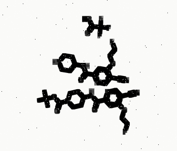 CC(C)(C)OC(=O)N1CCC(NC(=O)c2cc(OCCF)c(C#N)cn2)CC1.N#Cc1cnc(C(=O)NC2CCNCC2)cc1OCCF.O=C(O)C(F)(F)F